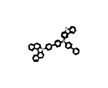 c1ccc(-c2ccc(N(c3ccc(-c4ccc(-n5c6ccc7ccccc7c6c6c7ccccc7ccc65)cc4)cc3)c3ccc4oc5ccccc5c4c3)cc2)cc1